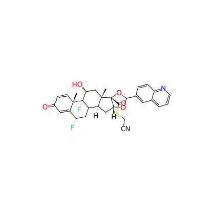 C[C@]12C=CC(=O)C=C1[C@@H](F)CC1[C@@H]3C[C@H]4OC(c5ccc6ncccc6c5)O[C@@]4(C(=O)SCC#N)[C@@]3(C)C[C@H](O)[C@@]12F